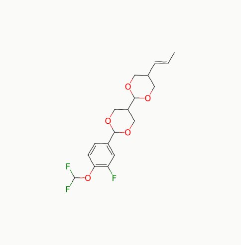 C/C=C/C1COC(C2COC(c3ccc(OC(F)F)c(F)c3)OC2)OC1